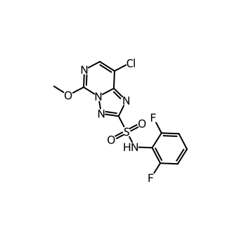 COc1ncc(Cl)c2nc(S(=O)(=O)Nc3c(F)cccc3F)nn12